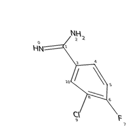 N=C(N)c1ccc(F)c(Cl)c1